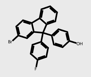 Oc1ccc(C2(c3ccc(F)cc3)c3ccccc3-c3ccc(Br)cc32)cc1